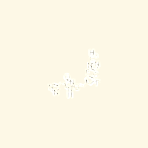 Cc1ncc(Oc2c(F)cc(CCOc3nc(=O)c(Cc4cncnc4)c[nH]3)cc2F)cn1